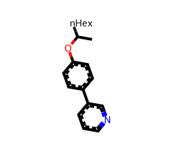 CCCCCCC(C)Oc1ccc(-c2cccnc2)cc1